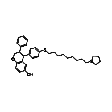 Oc1ccc2c(c1)C(c1ccc(SCCCCCCCCCN3CCCC3)cc1)C(c1ccccc1)CO2